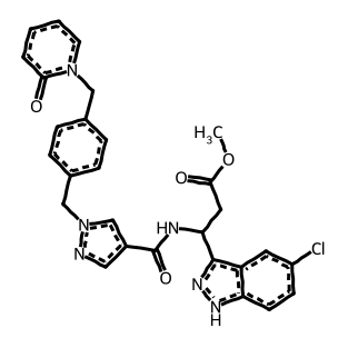 COC(=O)CC(NC(=O)c1cnn(Cc2ccc(Cn3ccccc3=O)cc2)c1)c1n[nH]c2ccc(Cl)cc12